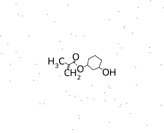 C=C(C)C(=O)OC1CCCC(O)C1